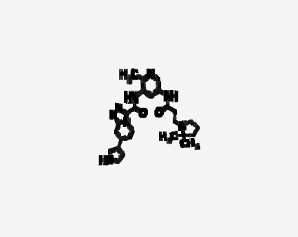 Cc1ncc(NC(=O)CCN2CCCC2(C)C)cc1NC(=O)c1nnc2cc(-c3cc[nH]c3)ccn12